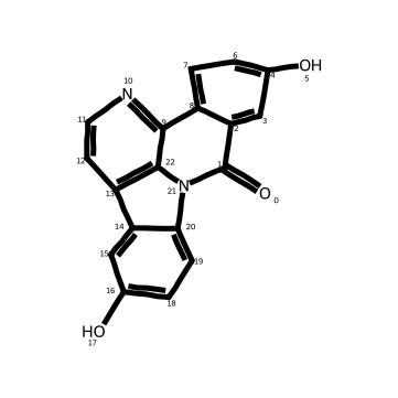 O=c1c2cc(O)ccc2c2nccc3c4cc(O)ccc4n1c32